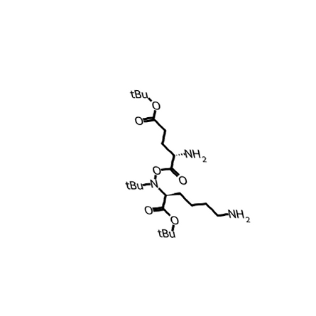 CC(C)(C)OC(=O)CC[C@H](N)C(=O)ON([C@@H](CCCCN)C(=O)OC(C)(C)C)C(C)(C)C